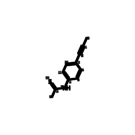 CC#Cc1ccc(NC(C)=S)cc1